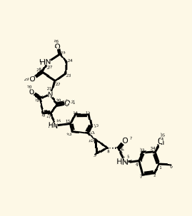 Cc1ccc(NC(=O)[C@@H]2C[C@H]2c2cccc(NC3=CC(=O)N(C4CCC(=O)NC4=O)C3=O)c2)cc1Cl